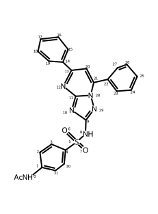 CC(=O)Nc1ccc(S(=O)(=O)Nc2nc3nc(-c4ccccc4)cc(-c4ccccc4)n3n2)cc1